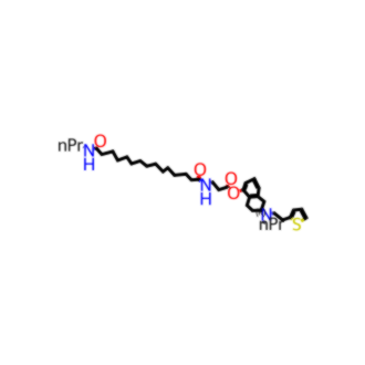 CCCNC(=O)CCCCCCCCCCCCCC(=O)NCCC(=O)Oc1cccc2c1CC[C@@H](N(CCC)CCc1cccs1)C2